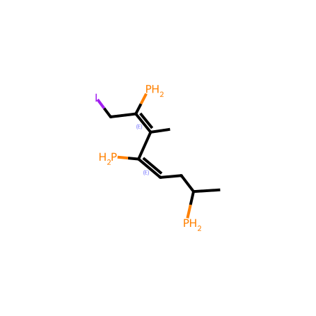 CC(/C(P)=C\CC(C)P)=C(\P)CI